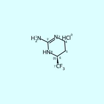 Cl.NC1=NCC[C@@H](C(F)(F)F)N1